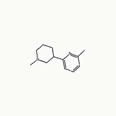 Cc1cccc(C2CCCN(C)C2)n1